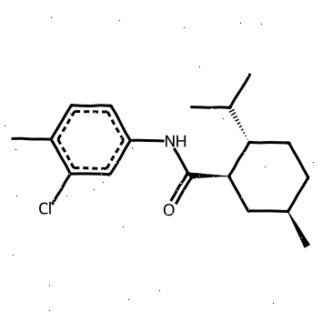 Cc1ccc(NC(=O)[C@@H]2C[C@H](C)CC[C@H]2C(C)C)cc1Cl